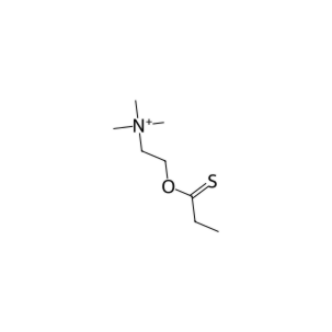 CCC(=S)OCC[N+](C)(C)C